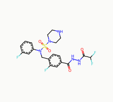 O=C(NNC(=O)C(F)F)c1ccc(CN(c2cccc(F)c2)S(=O)(=O)N2CCNCC2)c(F)c1